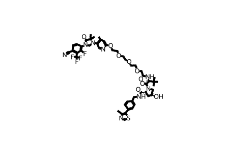 Cc1cc(OCCOCCOCCOCC(=O)N[C@H](C(=O)N2C[C@H](O)C[C@H]2C(=O)NCc2ccc(-c3scnc3C)cc2)C(C)(C)C)ncc1N1CN(c2ccc(C#N)c(C(F)(F)F)c2F)C(=O)C1(C)C